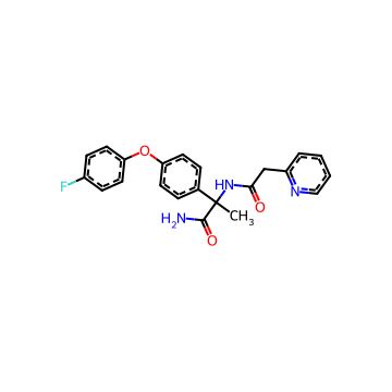 CC(NC(=O)Cc1ccccn1)(C(N)=O)c1ccc(Oc2ccc(F)cc2)cc1